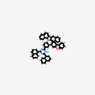 c1ccc2cc3c(cc2c1)c1ccc2ccccc2c1n3-c1ccc(C2N=C(c3cccc4ccccc34)N=C(c3cccc4ccccc34)N2)cc1-c1ccc2c(c1)oc1ccccc12